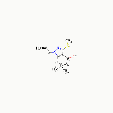 C=CCn1nc(SC)c2c1CC(C)(C)CC2=O